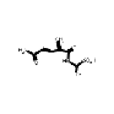 C=C(C=CC(N)=O)C(=O)NC(C(C)C)S(=O)(=O)O